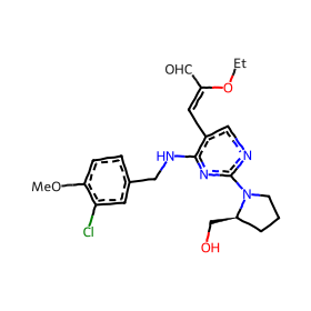 CCOC(C=O)=Cc1cnc(N2CCC[C@H]2CO)nc1NCc1ccc(OC)c(Cl)c1